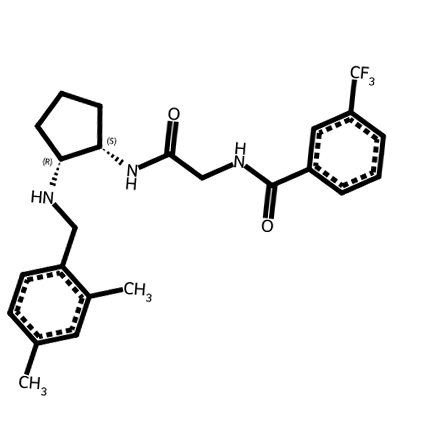 Cc1ccc(CN[C@@H]2CCC[C@@H]2NC(=O)CNC(=O)c2cccc(C(F)(F)F)c2)c(C)c1